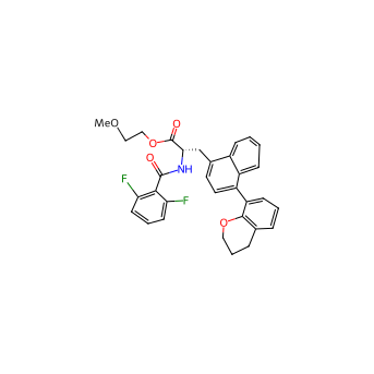 COCCOC(=O)[C@H](Cc1ccc(-c2cccc3c2OCCC3)c2ccccc12)NC(=O)c1c(F)cccc1F